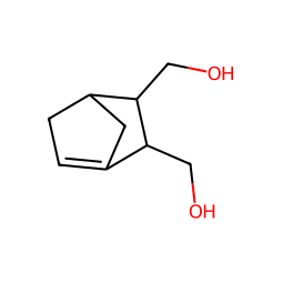 OCC1C2=CCC(C2)C1CO